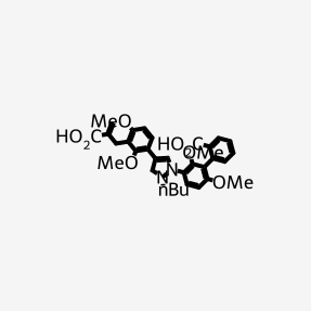 C=C(Cc1c(OC)ccc(C2=CN(c3ccc(OC)c(-c4ccccc4C(=O)O)c3OC)N(CCCC)C2)c1OC)C(=O)O